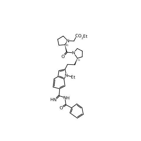 CCOC(=O)CN1CCC[C@@H]1C(=O)N1CCC[C@H]1CCc1cc2ccc(C(=N)NC(=O)c3ccccc3)cc2n1CC